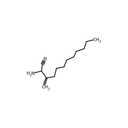 C=C(CCCCCCCCC)C(N)C#N